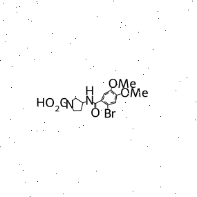 COc1cc(Br)c(C(=O)NC2CCN(C(=O)O)C2)cc1OC